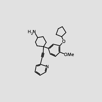 COc1ccc(C2(C#Cc3ccccn3)CCC(N)CC2)cc1OC1CCCC1